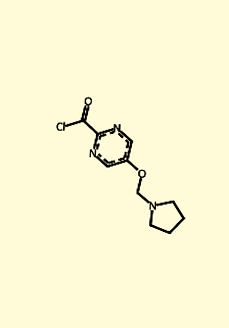 O=C(Cl)c1ncc(OCN2CCCC2)cn1